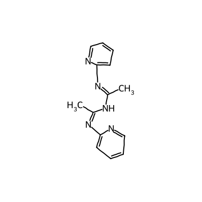 CC(=Nc1ccccn1)NC(C)=Nc1ccccn1